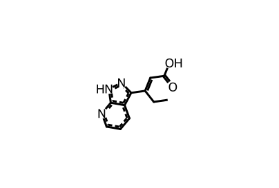 CC/C(=C\C(=O)O)c1n[nH]c2ncccc12